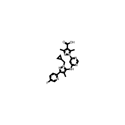 Cc1nn(-c2cc(Nc3c(C)c(-c4ccc(F)cn4)nn3CC3CC3)ncn2)c(C)c1C(=O)O